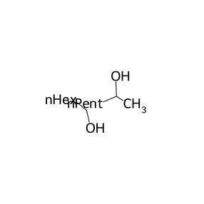 CCCCCC(C)O.CCCCCCCO